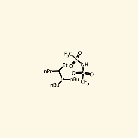 CCCCP(CCCC)C(CC)CCC.O=S(=O)(NS(=O)(=O)C(F)(F)F)C(F)(F)F